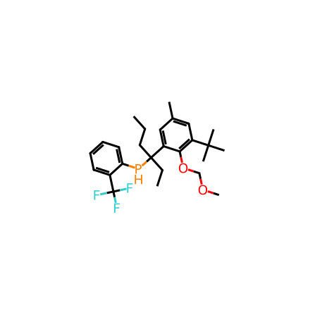 CCCC(CC)(Pc1ccccc1C(F)(F)F)c1cc(C)cc(C(C)(C)C)c1OCOC